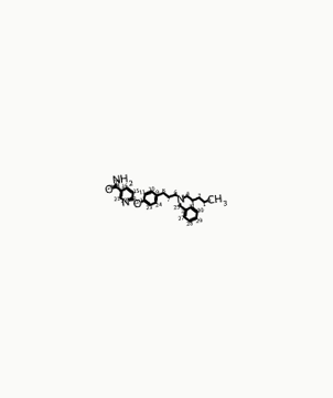 CCCCCN(CCCc1ccc(Oc2ccc(C(N)=O)cn2)cc1)Cc1ccccc1